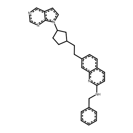 c1ccc(CNc2ccc3ccc(CCC4CCC(n5ccc6cncnc65)C4)cc3n2)cc1